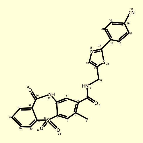 Cc1cc2c(cc1C(=O)NCc1cnc(-c3ccc(C#N)cc3)s1)NC(=O)c1ccccc1S2(=O)=O